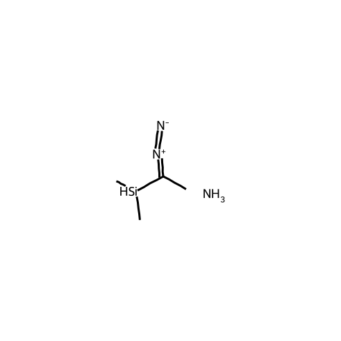 CC(=[N+]=[N-])[SiH](C)C.N